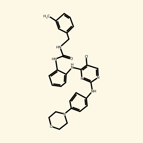 Cc1cccc(CNC(=O)Nc2ccccc2Nc2nc(Nc3ccc(N4CCOCC4)cc3)ncc2Cl)c1